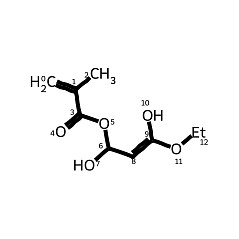 C=C(C)C(=O)OC(O)C=C(O)OCC